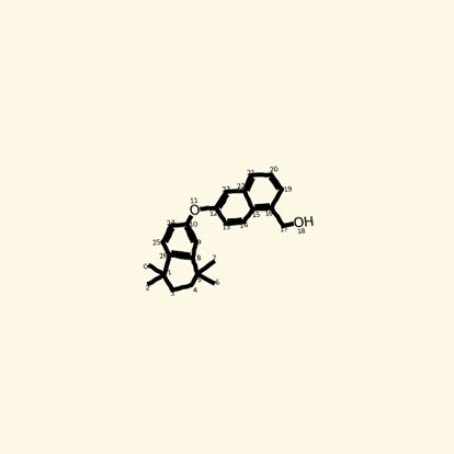 CC1(C)CCC(C)(C)c2cc(Oc3ccc4c(CO)cccc4c3)ccc21